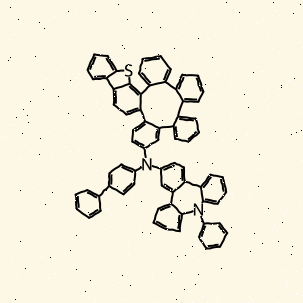 c1ccc(-c2ccc(N(c3ccc4c(c3)-c3ccccc3N(c3ccccc3)c3ccccc3-4)c3ccc4c(c3)c3ccccc3c3ccccc3c3ccccc3c3c4ccc4c5ccccc5sc43)cc2)cc1